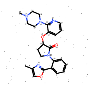 Cc1coc(-c2ccccc2N2CCC(Oc3cccnc3N3CCN(C)CC3)C2=O)n1